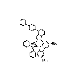 CCCC1=Cc2c(-c3ccc(-c4ccccc4)cc3)cccc2C1c1cc(C(C)(C)C)cc2c1[CH]([Zr][SiH](c1ccccc1)c1ccccc1)c1ccc(C(C)(C)C)cc1-2